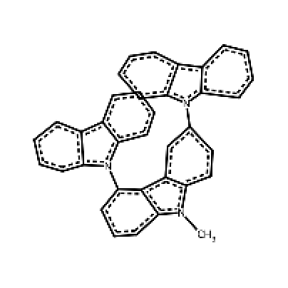 Cn1c2ccc(-n3c4ccccc4c4ccccc43)cc2c2c(-n3c4ccccc4c4ccccc43)cccc21